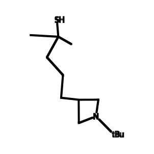 CC(C)(S)CCCC1CN(C(C)(C)C)C1